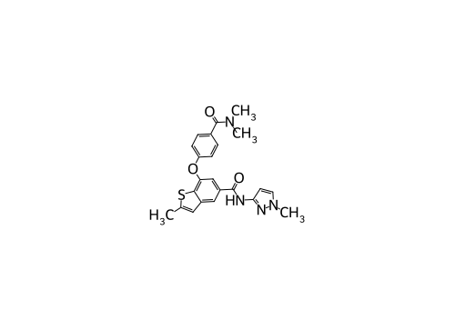 Cc1cc2cc(C(=O)Nc3ccn(C)n3)cc(Oc3ccc(C(=O)N(C)C)cc3)c2s1